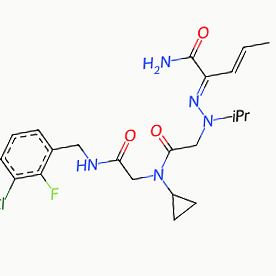 C/C=C/C(=N\N(CC(=O)N(CC(=O)NCc1cccc(Cl)c1F)C1CC1)C(C)C)C(N)=O